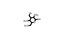 CC(=O)CC1C(OC(C)=O)C(S)OC(COC(C)=O)C1OC(C)=O